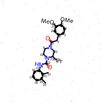 COc1ccc(CC(=O)N2CCN(C(=O)Nc3cccc(C)c3C)C(C(C)C)C2)cc1OC